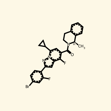 C[C@@H]1c2ccccc2CCN1C(=O)c1cc(C2CC2)n2nc(-c3ccc(Br)cc3F)cc2c1F